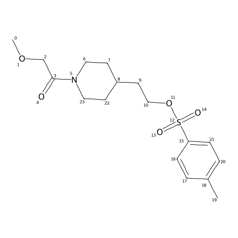 COCC(=O)N1CCC(CCOS(=O)(=O)c2ccc(C)cc2)CC1